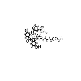 CC(=O)N(CCCCCCCC(=O)O)c1c(C)n(C(=O)c2ccc(Cl)cc2)c2ccc(O)cc12.NC(=O)N1CCOCC1